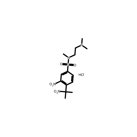 CN(C)CCN(C)S(=O)(=O)c1ccc(C(C)(C)[N+](=O)[O-])c([N+](=O)[O-])c1.Cl